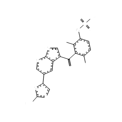 CCCS(=O)(=O)Nc1ccc(F)c(C(=O)c2c[nH]c3ncc(-c4csc(C)n4)cc23)c1F